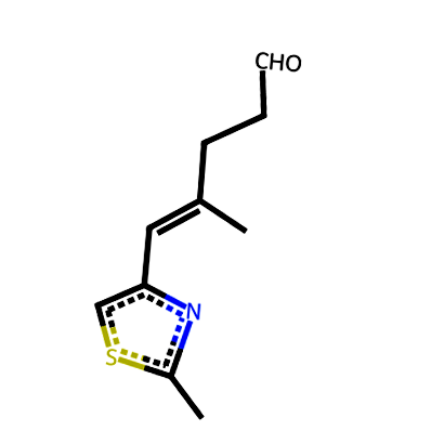 C/C(=C\c1csc(C)n1)CCC=O